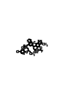 CC[C@@H]1CN(Cc2cc([C@H](CC(=O)O)c3cc(OC(F)F)c4c(nnn4C)c3C)cc3ccsc23)S(=O)(=O)c2cc(Cl)cnc2O1